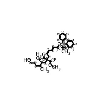 COC(=O)C(C/C=C\C=C\CO[Si](c1ccccc1)(c1ccccc1)C(C)(C)C)(CC/C(C)=C\CCO)C(=O)OC